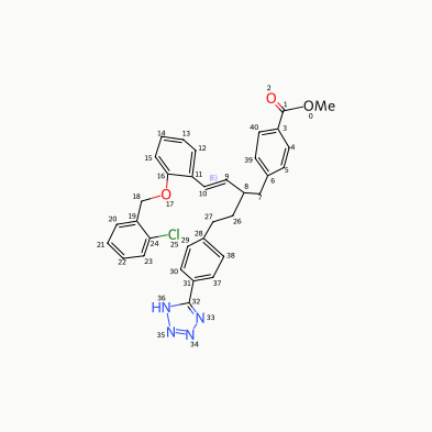 COC(=O)c1ccc(CC(/C=C/c2ccccc2OCc2ccccc2Cl)CCc2ccc(-c3nnn[nH]3)cc2)cc1